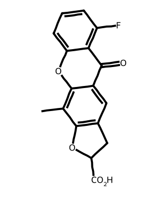 Cc1c2c(cc3c(=O)c4c(F)cccc4oc13)CC(C(=O)O)O2